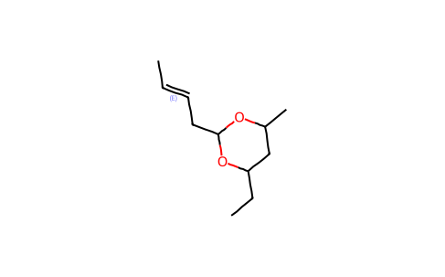 C/C=C/CC1OC(C)CC(CC)O1